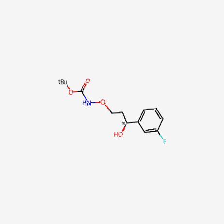 CC(C)(C)OC(=O)NOCC[C@H](O)c1cccc(F)c1